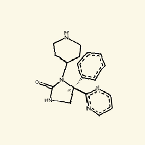 O=C1NC[C@](c2ccccc2)(c2ncccn2)N1C1CCNCC1